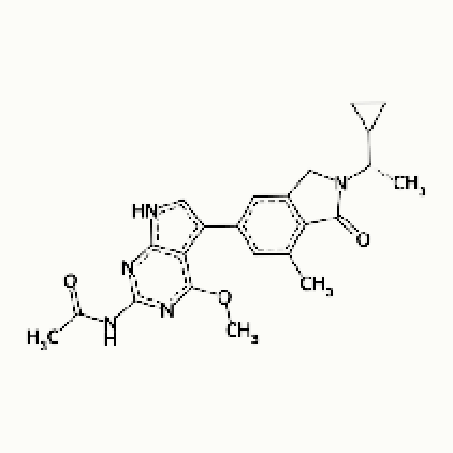 COc1nc(NC(C)=O)nc2[nH]cc(-c3cc(C)c4c(c3)CN([C@@H](C)C3CC3)C4=O)c12